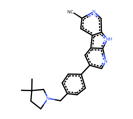 CC1(C)CCN(Cc2ccc(-c3cnc4[nH]c5cnc(C#N)cc5c4c3)cc2)C1